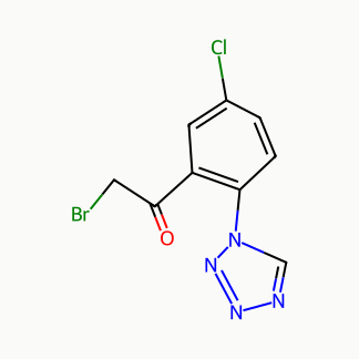 O=C(CBr)c1cc(Cl)ccc1-n1cnnn1